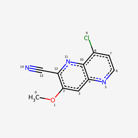 COc1cc2nccc(Cl)c2nc1C#N